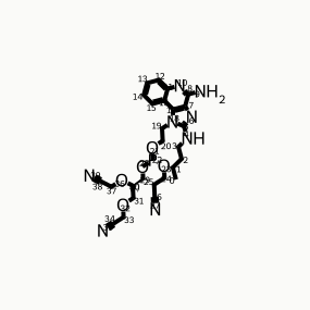 CCCCNc1nc2c(N)nc3ccccc3c2n1CCOP(OCCC#N)OC[C@@H](COCC#N)OCC#N